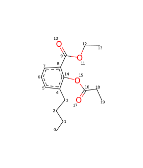 CCCCc1cccc(C(=O)OCC)c1OC(=O)CC